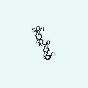 O=C(C1=NOC2(CCN(C(O)=S)CC2)C1)N1CCN(c2ncccc2Cl)CC1